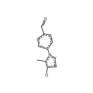 Cc1c(Cl)cnn1-c1ccc(C=O)cn1